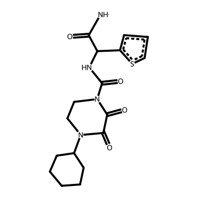 [NH]C(=O)C(NC(=O)N1CCN(C2CCCCC2)C(=O)C1=O)c1cccs1